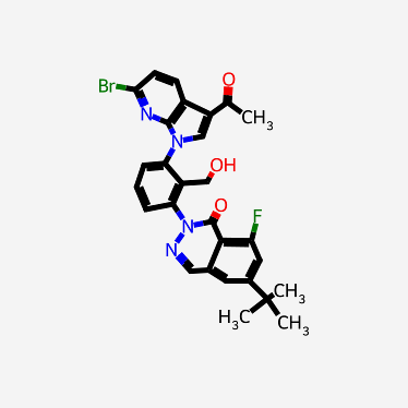 CC(=O)c1cn(-c2cccc(-n3ncc4cc(C(C)(C)C)cc(F)c4c3=O)c2CO)c2nc(Br)ccc12